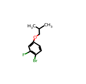 CC(C)COc1ccc(Br)c(F)c1